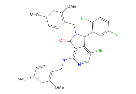 COc1ccc(CNc2ncc(Br)c3c2C(=O)N(Cc2ccc(OC)cc2OC)C3c2cc(F)ccc2Cl)c(OC)c1